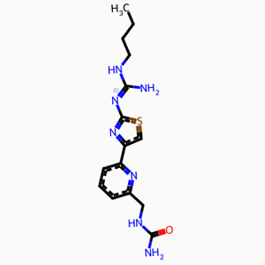 CCCCN/C(N)=N/c1nc(-c2cccc(CNC(N)=O)n2)cs1